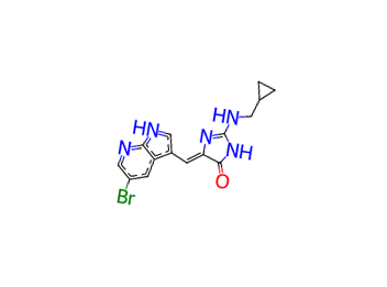 O=C1NC(NCC2CC2)=NC1=Cc1c[nH]c2ncc(Br)cc12